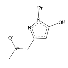 CC(C)n1nc(C[S+](C)[O-])cc1O